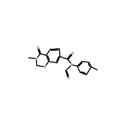 Cc1ccc(N(C=O)C(=O)c2ccc3c(c2)OCN(C)C3=O)cc1